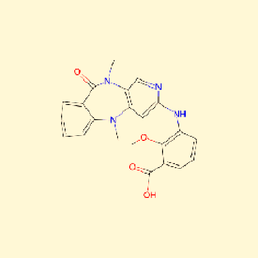 COc1c(Nc2cc3c(cn2)N(C)C(=O)c2ccccc2N3C)cccc1C(=O)O